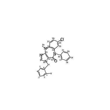 Cc1ccccc1Cn1cnc2c1C(=O)N(c1ccccc1)c1cc(Cl)ccc1N2C